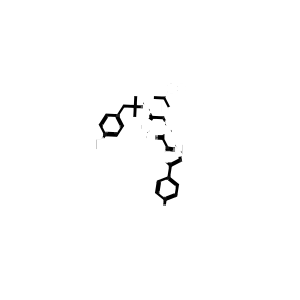 C[C@@H](C[C@H](NC(=O)c1ncc(-c2ccc(F)cc2)s1)C(=O)NC(C)(C)Cc1ccc(F)cc1)C(=O)O